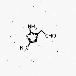 Cc1cc(CC=O)c(N)s1